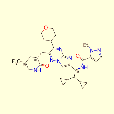 CCn1nccc1C(=O)N[C@H](c1cn2nc(C[C@H]3C[C@@H](C(F)(F)F)CNC3=O)c(C3CCOCC3)nc2n1)C(C1CC1)C1CC1